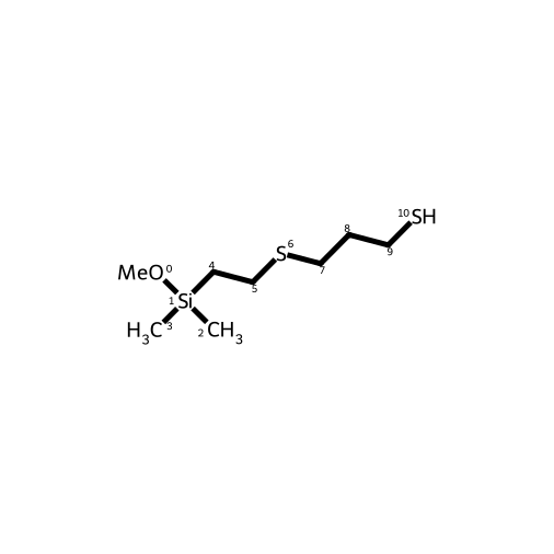 CO[Si](C)(C)CCSCCCS